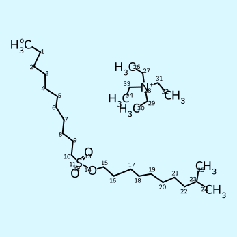 CCCCCCCCCCCS(=O)(=O)OCCCCCCCCC(C)C.CC[N+](CC)(CC)CC